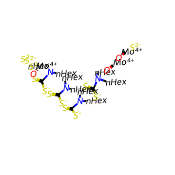 CCCCCCN(CCCCCC)C(=S)[S-].CCCCCCN(CCCCCC)C(=S)[S-].CCCCCCN(CCCCCC)C(=S)[S-].CCCCCCN(CCCCCC)C(=S)[S-].[O]=[Mo+4].[O]=[Mo+4].[O]=[Mo+4].[S-2].[S-2].[S-2].[S-2]